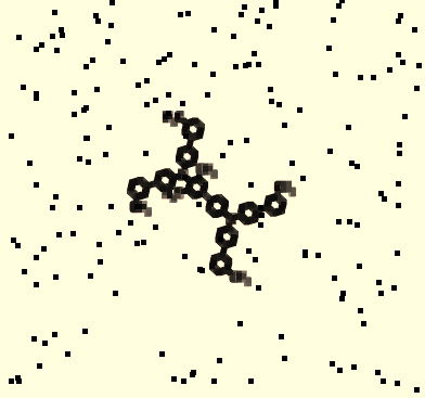 Cc1cccc(-c2ccc(N(c3ccc(-c4cccc(C)c4)cc3)c3ccc(-c4cc(C)c(N(c5ccc(-c6cccc(C)c6)cc5)c5ccc(-c6cccc(C)c6)cc5)c(C)c4)cc3)cc2)c1